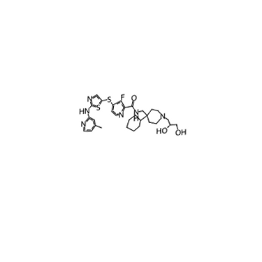 Cc1ccnc(Nc2ncc(Sc3ccnc(C(=O)NCC4(C5CCCCC5)CCN(C[C@H](O)CO)CC4)c3F)s2)c1